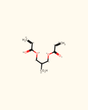 C=CC(=O)OCC(COC(=O)C=C)C(=O)O